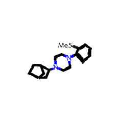 CSc1ccccc1N1CCN(C2CC3CCC2C3)CC1